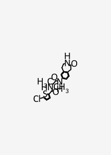 CC(C)(NC(=O)c1ccc(Cl)s1)C(=O)Nc1ccc2c(c1)CCNC(=O)C2